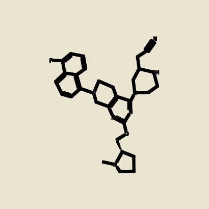 CN1CCC[C@H]1COc1nc2c(c(N3CCNC(CC#N)C3)n1)CCN(c1cccc3c(F)cccc13)C2